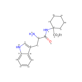 CCOC(=O)C1(NC(=O)C(N)Cc2c[nH]c3ccccc23)CCCCC1